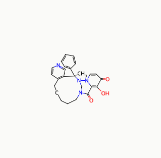 C[C@@]1(c2ccccc2)c2cnccc2CCCCCN2CN1n1ccc(=O)c(O)c1C2=O